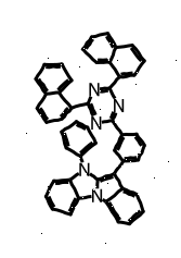 c1ccc(-n2c3ccccc3n3c4ccccc4c(-c4cccc(-c5nc(-c6cccc7ccccc67)nc(-c6cccc7ccccc67)n5)c4)c23)cc1